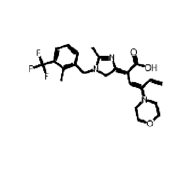 C=C/C(=C\C(C(=O)O)=C1/CN(Cc2cccc(C(F)(F)F)c2C)C(C)=N1)N1CCOCC1